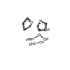 CCCCCCOO.O=CO.c1c[nH]cn1.c1ccoc1